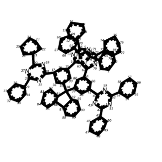 c1ccc(-c2nc(-c3ccccc3)nc(-c3cc(-c4nc(-c5ccccc5)nc(-c5ccccc5)n4)cc(C4(c5cc(-c6nc(-c7ccccc7)nc(-c7ccccc7)n6)cc(-c6nc(-c7ccccc7)nc(-c7ccccc7)n6)c5)c5ccccc5-c5ccccc54)c3)n2)cc1